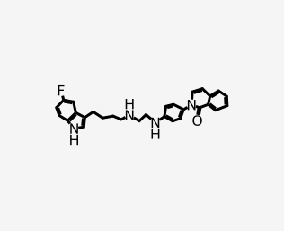 O=c1c2ccccc2ccn1-c1ccc(NCCNCCCCc2c[nH]c3ccc(F)cc23)cc1